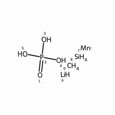 C.O=P(O)(O)O.[LiH].[Mn].[SiH4]